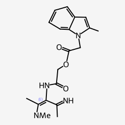 CN/C(C)=C(/NC(=O)COC(=O)Cn1c(C)cc2ccccc21)C(C)=N